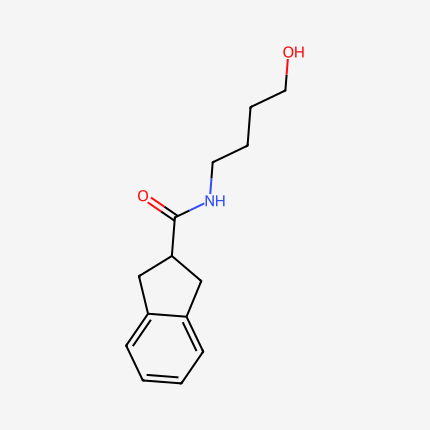 O=C(NCCCCO)C1Cc2ccccc2C1